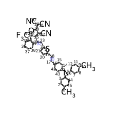 Cc1ccc(N(c2ccc(C)cc2)c2ccc(/C=C/c3ccc(/C=C/C4=C(C#N)C(=C(C#N)C#N)OC4(c4ccccc4)C(F)(F)F)s3)cc2)cc1